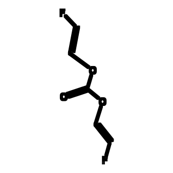 O=C(OC=CF)OC=CF